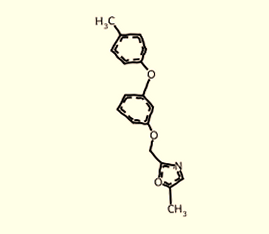 Cc1ccc(Oc2cccc(OCc3ncc(C)o3)c2)cc1